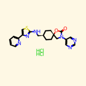 Cl.Cl.O=C1O[C@]2(CC[C@H](CNc3nc(-c4ccccn4)cs3)CC2)CN1c1cncnc1